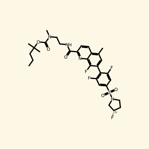 CCCC(C)(C)OC(=O)N(C)CCNC(=O)c1ccc2c(C)cc(-c3c(F)cc(S(=O)(=O)N4CC[C@H](F)C4)cc3F)c(F)c2n1